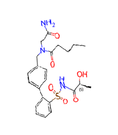 CCCCC(=O)N(CC(N)=O)Cc1ccc(-c2ccccc2S(=O)(=O)NC(=O)[C@H](C)O)cc1